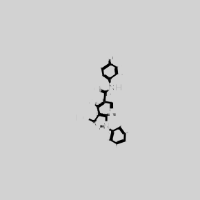 Cc1nn(-c2ccccc2)c2ncc(C(=O)Nc3ccc(Cl)cc3)c(C)c12